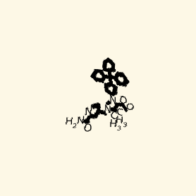 CC1(C)C(C(=O)C=O)N(c2ccc(C(c3ccccc3)(c3ccccc3)c3ccccc3)cc2)CN1Cc1ccnc(C(N)=O)c1